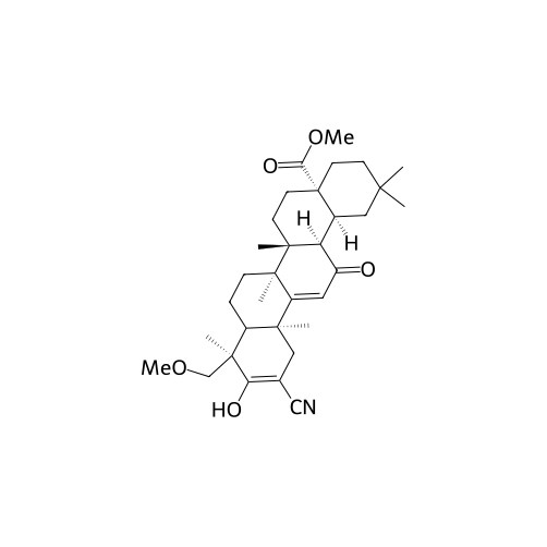 COC[C@]1(C)C(O)=C(C#N)C[C@]2(C)C3=CC(=O)[C@@H]4[C@@H]5CC(C)(C)CC[C@]5(C(=O)OC)CC[C@@]4(C)[C@]3(C)CCC21